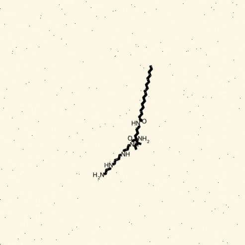 CCCCCCCCCCCCCCCCCC(=O)NCCCC[C@](N)(C(=O)NCCCNCCCCNCCCN)C(C)CC